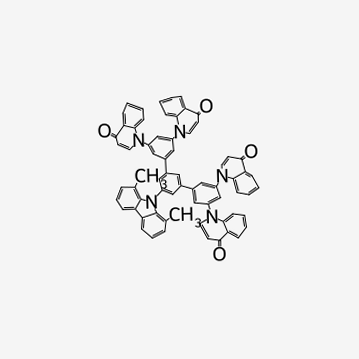 Cc1cccc2c3cccc(C)c3n(-c3cc(-c4cc(-n5ccc(=O)c6ccccc65)cc(-n5ccc(=O)c6ccccc65)c4)cc(-c4cc(-n5ccc(=O)c6ccccc65)cc(-n5ccc(=O)c6ccccc65)c4)c3)c12